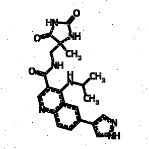 CC(C)Nc1c(C(=O)NCC2(C)NC(=O)NC2=O)cnc2ccc(-c3cn[nH]c3)cc12